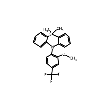 COc1cc(C(F)(F)F)ccc1N1c2ccccc2[Si](C)(C)c2ccccc21